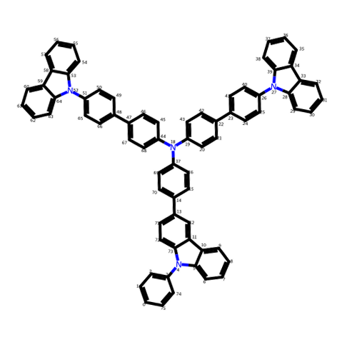 c1ccc(-n2c3ccccc3c3cc(-c4ccc(N(c5ccc(-c6ccc(-n7c8ccccc8c8ccccc87)cc6)cc5)c5ccc(-c6ccc(-n7c8ccccc8c8ccccc87)cc6)cc5)cc4)ccc32)cc1